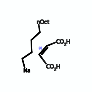 CCCCCCCCCCC[CH2][Na].O=C(O)/C=C\C(=O)O